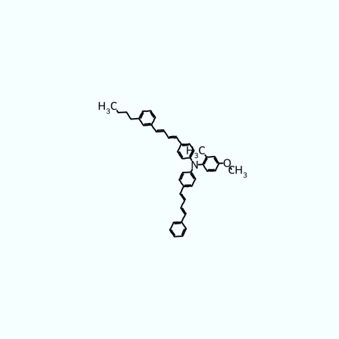 CCCCc1cccc(/C=C/C=C/c2ccc(N(c3ccc(/C=C/C=C/c4ccccc4)cc3)c3ccc(OC)cc3C)cc2)c1